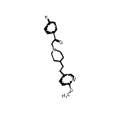 COc1ccc([CH]CC2CCN(CC(=O)c3ccc(F)cc3)CC2)cn1